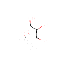 O=C([O-])[O-].O=C([O-])[O-].OCC(O)CO.[Mn+2].[Zn+2]